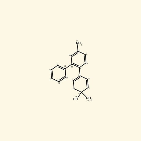 Nc1ccc(C2=CCC(N)(O)C=C2)c(-c2ccccc2)c1